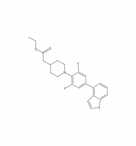 CCOC(=O)CC1CCN(c2c(F)cc(-c3cccc4sccc34)cc2F)CC1